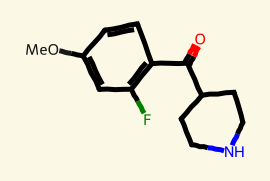 COc1ccc(C(=O)C2CCNCC2)c(F)c1